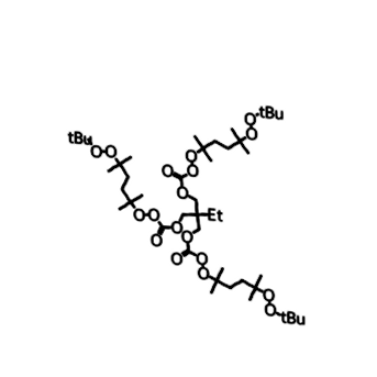 CCC(COC(=O)OOC(C)(C)CCC(C)(C)OOC(C)(C)C)(COC(=O)OOC(C)(C)CCC(C)(C)OOC(C)(C)C)COC(=O)OOC(C)(C)CCC(C)(C)OOC(C)(C)C